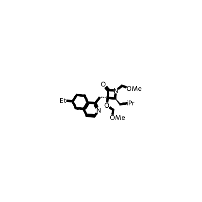 CCC1CCc2c(ccnc2C[C@]2(OCOC)C(=O)N(COC)[C@H]2CC(C)C)C1